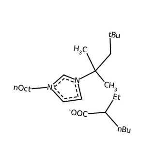 CCCCC(CC)C(=O)[O-].CCCCCCCC[n+]1ccn(C(C)(C)CC(C)(C)C)c1